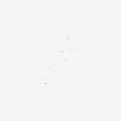 CC(C)CC(NC(=O)c1ccc(-c2ccccc2)s1)C(=O)N1CCC2C1C(=O)CN2C(=O)C(N)C(C)(C)C